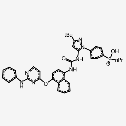 CCCP(=O)(O)c1ccc(-n2nc(C(C)(C)C)cc2NC(=O)Nc2ccc(Oc3ccnc(Nc4ccccc4)n3)c3ccccc23)cc1